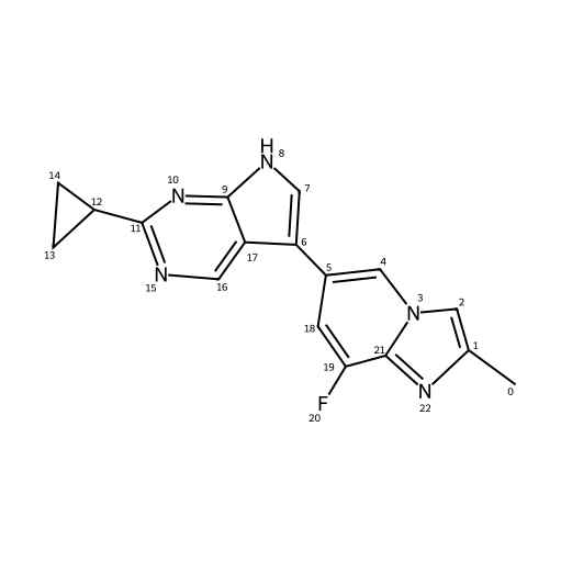 Cc1cn2cc(-c3c[nH]c4nc(C5CC5)ncc34)cc(F)c2n1